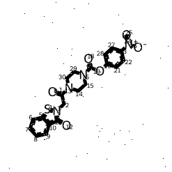 O=C(Cn1sc2ccccc2c1=O)N1CCN(C(=O)Oc2ccc([N+](=O)[O-])cc2)CC1